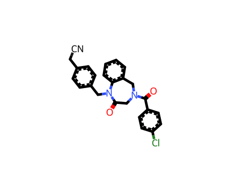 N#CCc1ccc(CN2C(=O)CN(C(=O)c3ccc(Cl)cc3)Cc3ccccc32)cc1